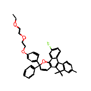 CCOCCOCCOc1ccc(C2(c3ccccc3)C=Cc3c4c(c5ccc(F)cc5c3O2)-c2ccc(C)cc2C4(C)C)cc1